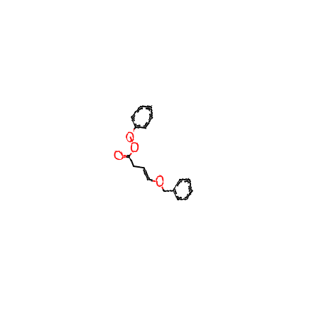 O=C(CC=COCc1ccccc1)OOc1ccccc1